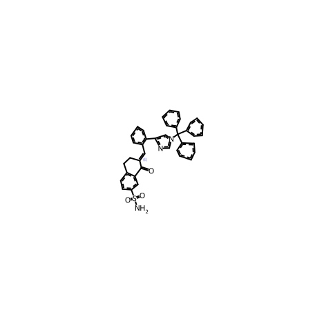 NS(=O)(=O)c1ccc2c(c1)C(=O)/C(=C/c1ccccc1-c1cn(C(c3ccccc3)(c3ccccc3)c3ccccc3)cn1)CC2